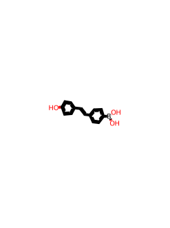 OB(O)c1ccc(C=Cc2ccc(O)cc2)cc1